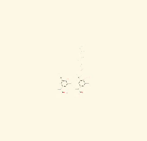 CCc1cc(C(C)C(=O)O)cc(C(C)(C)C)c1O.CCc1cc(C(C)C(=O)O)cc(C(C)(C)C)c1O.OCCOCCOCCO